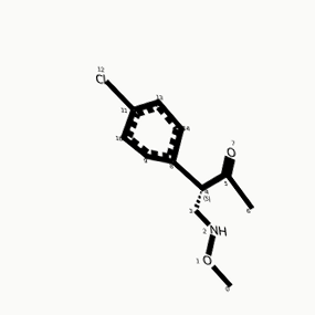 CONC[C@@H](C(C)=O)c1ccc(Cl)cc1